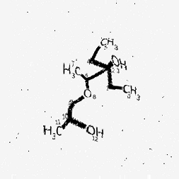 CCC(O)(CC)C(C)OCC(C)O